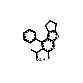 Cc1nc2sc3c(c2c(-c2ccccc2)c1C(C)C(=O)O)CCC3